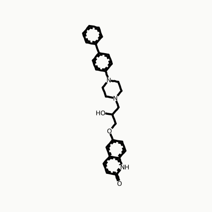 O=c1ccc2cc(OCC(O)CN3CCN(c4ccc(-c5ccccc5)cc4)CC3)ccc2[nH]1